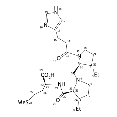 CC[C@H]1CCN(C[C@@H]2[C@@H](CC)CCN2C(=O)CCc2c[nH]cn2)[C@@H]1C(=O)N[C@@H](CCSC)C(=O)O